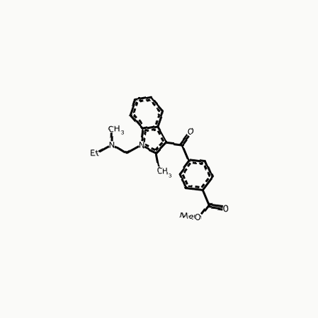 CCN(C)Cn1c(C)c(C(=O)c2ccc(C(=O)OC)cc2)c2ccccc21